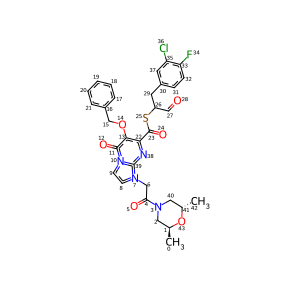 C[C@H]1CN(C(=O)Cn2ccn3c(=O)c(OCc4ccccc4)c(C(=O)SC(C=O)Cc4ccc(F)c(Cl)c4)nc23)C[C@H](C)O1